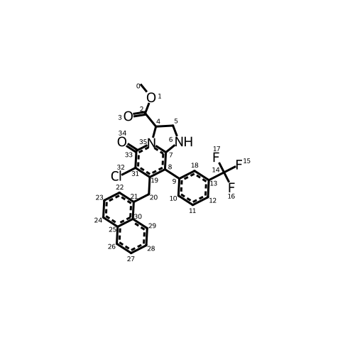 COC(=O)C1CNc2c(-c3cccc(C(F)(F)F)c3)c(Cc3cccc4ccccc34)c(Cl)c(=O)n21